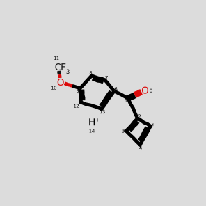 O=C(C1=CC=C1)c1ccc(OC(F)(F)F)cc1.[H+]